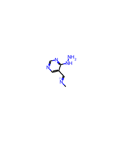 C/N=C/c1cncnc1NN